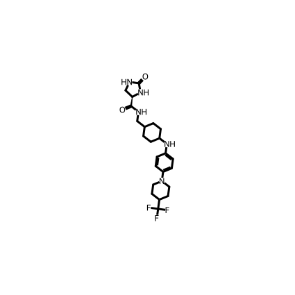 O=C1NC[C@H](C(=O)NCC2CCC(Nc3ccc(N4CCC(C(F)(F)F)CC4)cc3)CC2)N1